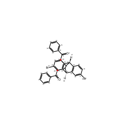 O=C(OC1C(OC(=O)c2ccccc2)[C@H]2c3cc(Br)ccc3[C@H]1c1ccc(Br)cc12)c1ccccc1